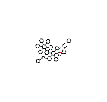 c1ccc(-c2ccc(-c3cccc(-c4c(-c5ccccc5)c(-c5ccccc5)c(-c5cccc(-n6c7ccccc7c7cc8c(cc76)sc6ccccc68)c5)c5c6cccc7c8c(-c9ccccc9)c(-c9ccccc9)c(-c9ccccc9)c(-c9ccccc9)c8c8cccc(c45)c8c76)c3)s2)cc1